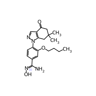 CCCCOc1cc(/C(N)=N/O)ccc1-n1ncc2c1CC(C)(C)CC2=O